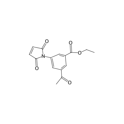 CCOC(=O)c1cc(C(C)=O)cc(N2C(=O)C=CC2=O)c1